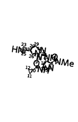 CNC(=O)c1nnc(NC(=O)C2CC2)cc1Nc1nc2ccc(C3CNC3)cn2n1